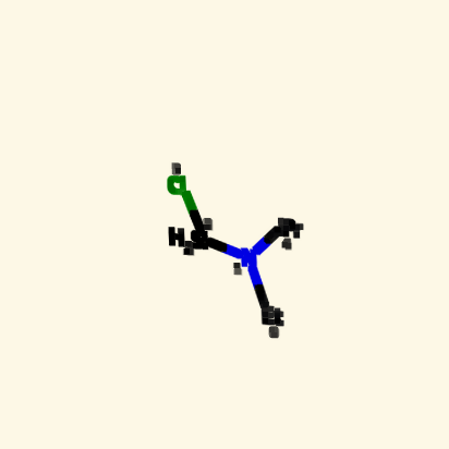 CCN([SiH2]Cl)C(C)C